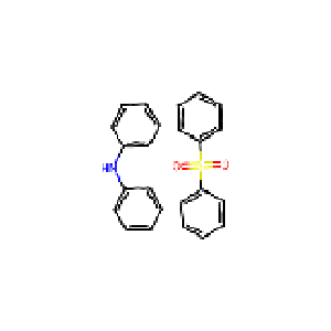 O=S(=O)(c1ccccc1)c1ccccc1.c1ccc(Nc2ccccc2)cc1